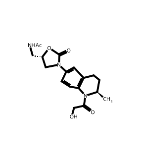 CC(=O)NC[C@H]1CN(c2ccc3c(c2)CC[C@@H](C)N3C(=O)CO)C(=O)O1